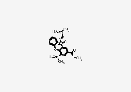 COC(=O)c1cc(N(C)C)c(Oc2ccccc2)c(S(=O)(=O)N=CN(C)C)c1